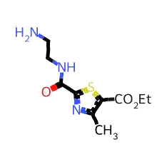 CCOC(=O)c1sc(C(=O)NCCN)nc1C